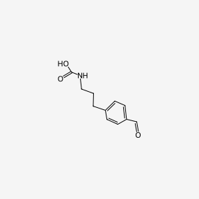 O=Cc1ccc(CCCNC(=O)O)cc1